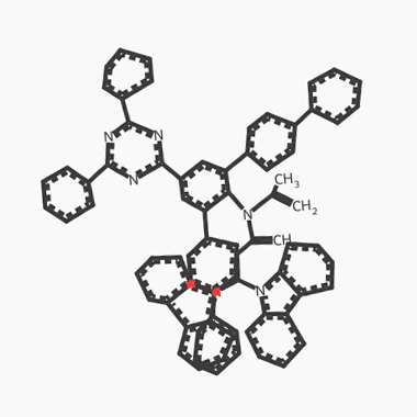 C=C(C)N(C(=C)CC(n1c2ccccc2c2ccccc21)n1c2ccccc2c2ccccc21)c1c(-c2ccc(-c3ccccc3)cc2)cc(-c2nc(-c3ccccc3)nc(-c3ccccc3)n2)cc1-c1ccc(-c2ccccc2)cc1